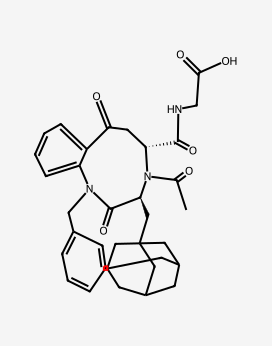 CC(=O)N1[C@@H](C(=O)NCC(=O)O)CC(=O)c2ccccc2N(Cc2ccccc2)C(=O)[C@@H]1CC12CC3CC(CC(C3)C1)C2